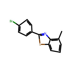 Cc1cccc2sc(-c3ccc(Br)cc3)nc12